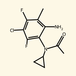 CC(=O)N(c1c(N)c(C)c(F)c(Cl)c1F)C1CC1